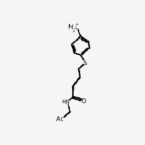 CC(=O)CNC(=O)CCCSc1ccc(C)cc1